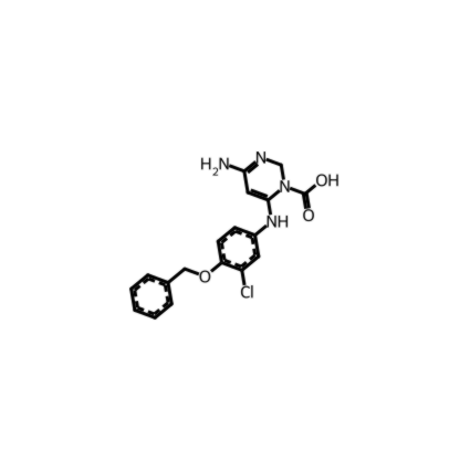 NC1=NCN(C(=O)O)C(Nc2ccc(OCc3ccccc3)c(Cl)c2)=C1